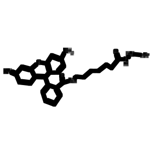 CCCNNC(=O)CCCCCCNC(=O)c1ccccc1-c1c2ccc(=N)cc-2oc2cc(N)ccc12